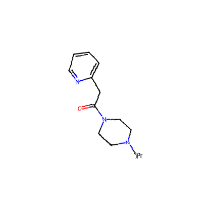 CC(C)N1CCN(C(=O)Cc2ccccn2)CC1